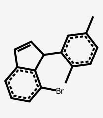 Cc1ccc(C)c(C2C=Cc3cccc(Br)c32)c1